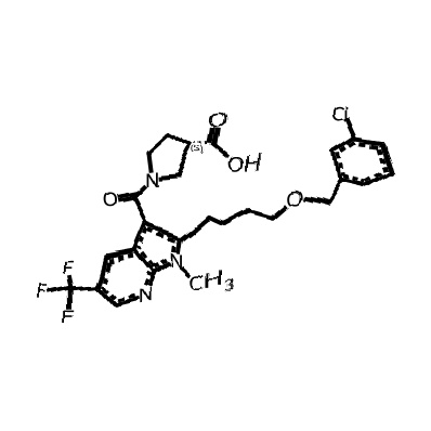 Cn1c(CCCCOCc2cccc(Cl)c2)c(C(=O)N2CC[C@H](C(=O)O)C2)c2cc(C(F)(F)F)cnc21